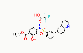 COC(=O)c1ccc(NS(=O)(=O)c2cccc(-c3ccc4ncccc4c3)c2)cc1O.O=C(O)C(F)(F)F